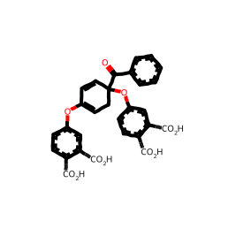 O=C(O)c1ccc(OC2=CCC(Oc3ccc(C(=O)O)c(C(=O)O)c3)(C(=O)c3ccccc3)C=C2)cc1C(=O)O